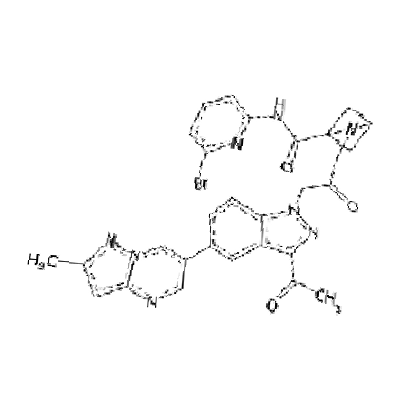 CC(=O)c1nn(CC(=O)N2CC3CC2(C(=O)Nc2cccc(Br)n2)C3)c2ccc(-c3cnc4cc(C)nn4c3)cc12